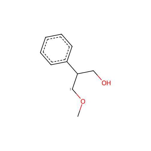 CO[C]C(CO)c1ccccc1